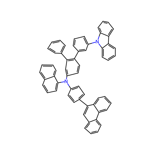 c1ccc(-c2cc(N(c3ccc(-c4cc5ccccc5c5ccccc45)cc3)c3cccc4ccccc34)ccc2-c2cccc(-n3c4ccccc4c4ccccc43)c2)cc1